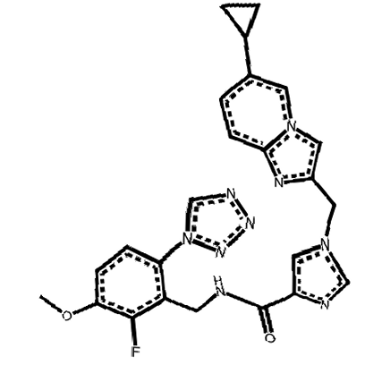 COc1ccc(-n2cnnn2)c(CNC(=O)c2cn(Cc3cn4cc(C5CC5)ccc4n3)cn2)c1F